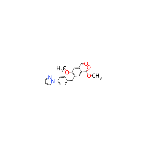 COC(=O)c1cc(Cc2ccc(-n3cccn3)cc2)c(OC)cc1C=O